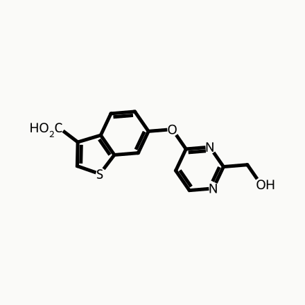 O=C(O)c1csc2cc(Oc3ccnc(CO)n3)ccc12